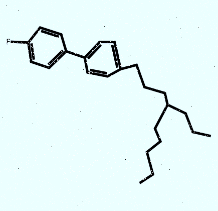 CCCCCC(CCC)CCCc1ccc(-c2ccc(F)cc2)cc1